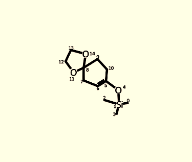 C[Si](C)(C)OC1=CCC2(CC1)OCCO2